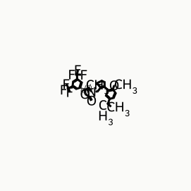 COc1ccc(C(C)C)cc1C1=C(CN2C(=O)O[C@H](c3cc(C(F)(F)F)cc(C(F)(F)F)c3)[C@@H]2C)CCC1